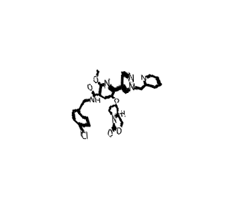 COc1nc(-c2cnn(Cc3ccccn3)c2)c(O[C@H]2CCN3C(=O)OC[C@@H]3C2)cc1C(=O)NCc1ccc(Cl)cc1